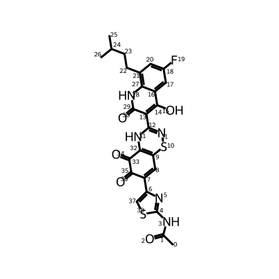 CC(=O)Nc1nc(-c2cc3snc(-c4c(O)c5cc(F)cc(CCC(C)C)c5[nH]c4=O)[nH]c=3c(=O)c2=O)cs1